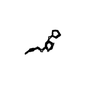 CC#CCOc1cc(OC2CCCC2)ncn1